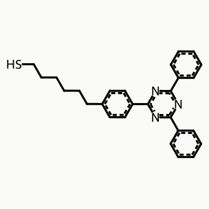 SCCCCCCc1ccc(-c2nc(-c3ccccc3)nc(-c3ccccc3)n2)cc1